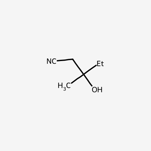 CCC(C)(O)CC#N